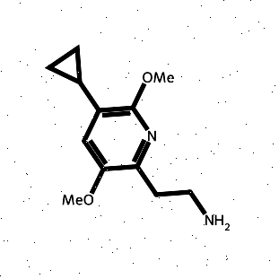 COc1cc(C2CC2)c(OC)nc1CCN